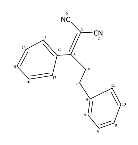 N#CC(C#N)=C(CCc1ccccc1)c1ccccc1